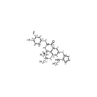 CNc1nccn1Cc1cc(CN(C)C)c2c(c1)C(=O)N(Cc1cc(F)c(F)cn1)CC21CC1